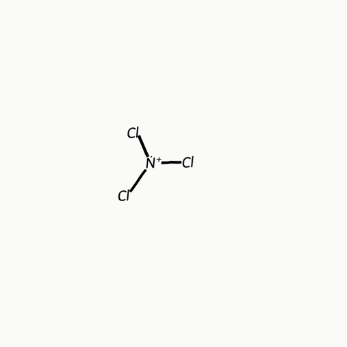 Cl[N+](Cl)Cl